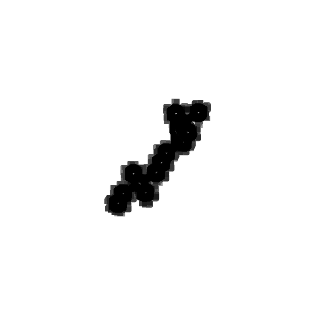 c1ccc(-c2c3ccccc3nc3c2ccc2ccc(-c4ccc5cc6cc(-c7c8ccccc8c(-c8ccc9ccccc9c8)c8ccccc78)ccc6cc5c4)nc23)cc1